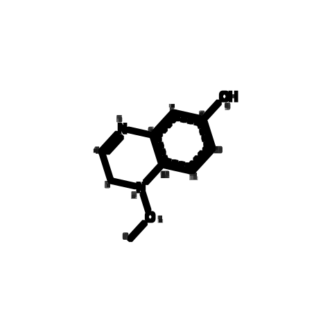 CON1CC=Nc2cc(O)ccc21